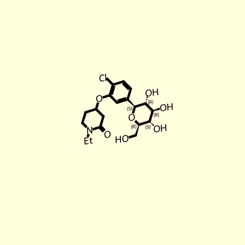 CCN1CCC(Oc2cc([C@@H]3O[C@H](CO)[C@@H](O)[C@H](O)[C@H]3O)ccc2Cl)CC1=O